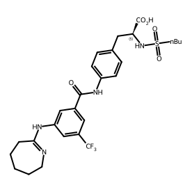 CCCCS(=O)(=O)N[C@@H](Cc1ccc(NC(=O)c2cc(NC3=NCCCCC3)cc(C(F)(F)F)c2)cc1)C(=O)O